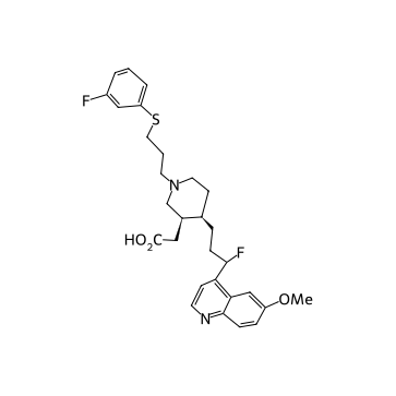 COc1ccc2nccc(C(F)CC[C@@H]3CCN(CCCSc4cccc(F)c4)C[C@@H]3CC(=O)O)c2c1